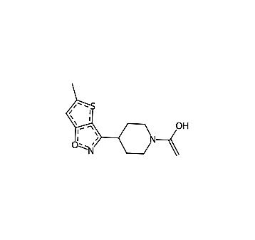 C=C(O)N1CCC(c2noc3cc(C)sc23)CC1